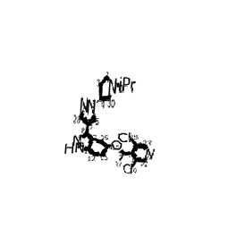 CC(C)N1CC[C@@H](n2cc(-c3n[nH]c4ccc(O[C@H](C)c5c(Cl)cncc5Cl)cc34)cn2)C1